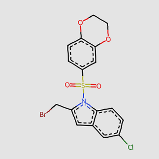 O=S(=O)(c1ccc2c(c1)OCCO2)n1c(CBr)cc2cc(Cl)ccc21